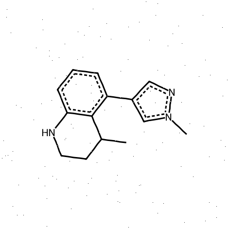 CC1CCNc2cccc(-c3cnn(C)c3)c21